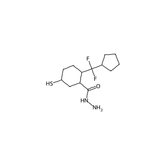 NNC(=O)C1CC(S)CCC1C(F)(F)C1CCCC1